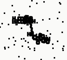 CC(C)(C)OC(=O)N1CCC1S(=O)(=O)NCCCCCCNc1ccc2c(c1)C(=O)N(C1CCC(=O)NC1=O)C2=O